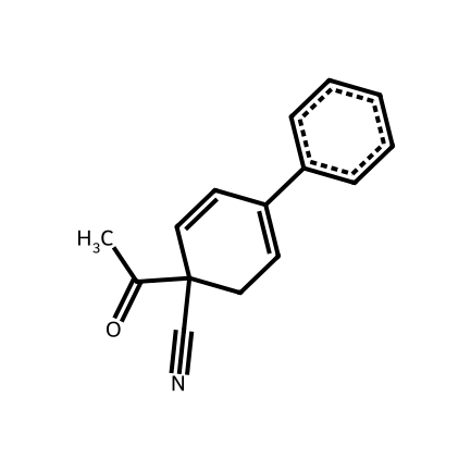 CC(=O)C1(C#N)C=CC(c2ccccc2)=CC1